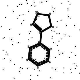 C1=C(c2ccccc2)CCC1